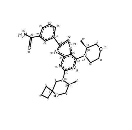 C[C@H]1COC2(CCC2)CN1c1nc(N2CCOC[C@@H]2C)c2ccc(-c3cccc(C(N)=O)c3)nc2n1